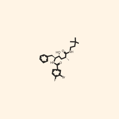 C[C@H](C[C@@H](O)[C@H](Cc1ccccc1)NC(=O)c1ccc(F)c(Br)c1)C(=O)NCCC(C)(C)C